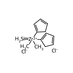 [CH3][Zr+2]([CH3])(=[SiH2])([C]1=CC=CC1)[C]1=CC=CC1.[Cl-].[Cl-]